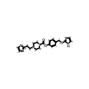 O=C(Oc1ccc(CSc2ncc[nH]2)cc1)N1CCN(CCc2nccs2)CC1